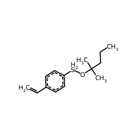 C=Cc1ccc([SiH2]OC(C)(C)CCC)cc1